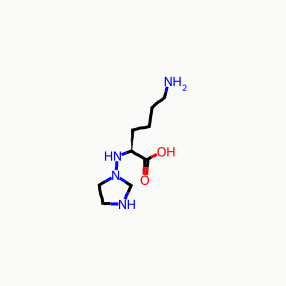 NCCCC[C@H](NN1CCNC1)C(=O)O